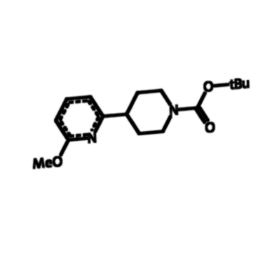 COc1cccc(C2CCN(C(=O)OC(C)(C)C)CC2)n1